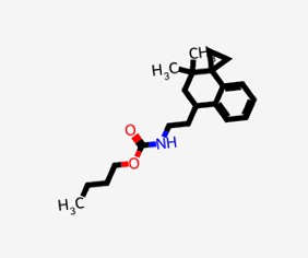 CCCCOC(=O)NCCC1CC(C)(C)C2(CC2)c2ccccc21